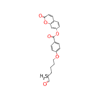 O=C[SiH2]CCCCOc1ccc(C(=O)Oc2ccc3ccc(=O)oc3c2)cc1